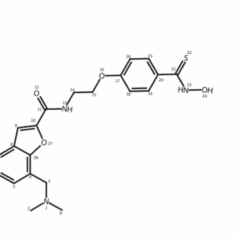 CN(C)Cc1cccc2cc(C(=O)NCCOc3ccc(C(=S)NO)cc3)oc12